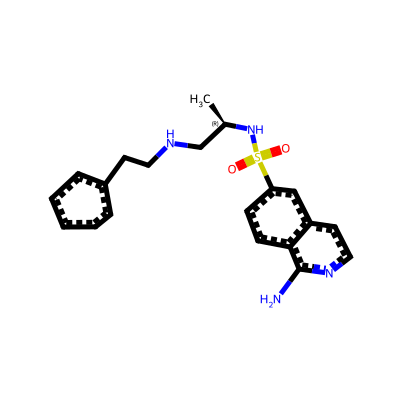 C[C@H](CNCCc1ccccc1)NS(=O)(=O)c1ccc2c(N)nccc2c1